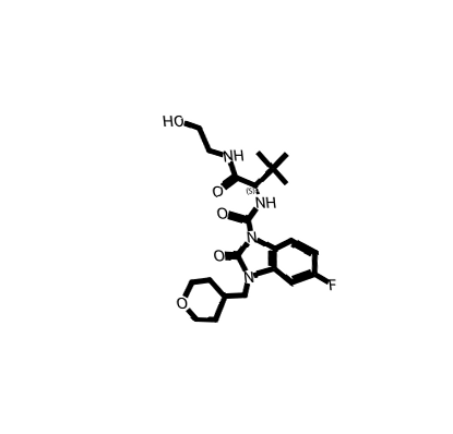 CC(C)(C)[C@H](NC(=O)n1c(=O)n(CC2CCOCC2)c2cc(F)ccc21)C(=O)NCCO